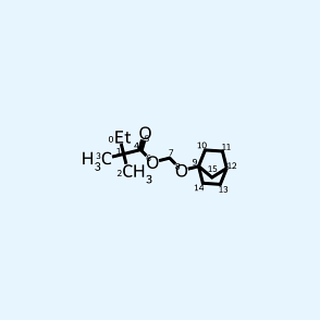 CCC(C)(C)C(=O)OCOC12CCC(CC1)C2